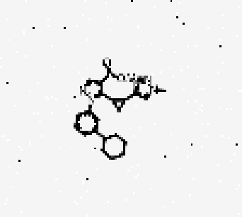 COC(=O)c1cnn(-c2cccc(C3CCCCC3)c2)c1C1CC1c1cn(C)nn1